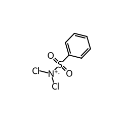 O=S(=O)(c1ccccc1)[N+](Cl)Cl